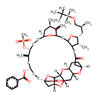 C=C1C[C@@H](OC(=O)c2ccccc2)CC[C@@]23C[C@H]4O[C@H]5C(O2)[C@H]2O[C@H](CC[C@@H]2O[C@H]5[C@H]4O3)CC(=O)CC2C(C[C@H]3O[C@@H](CC[C@H]1OS(C)(=O)=O)C[C@@H](C)C3=C)O[C@H](C[C@H](C)CO[Si](C)(C)C(C)(C)C)[C@@H]2C